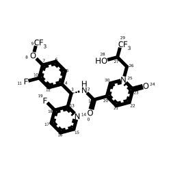 O=C(N[C@@H](c1ccc(OC(F)(F)F)c(F)c1)c1ncccc1F)c1ccc(=O)n(CC(O)C(F)(F)F)c1